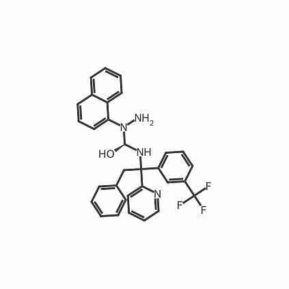 NN(c1cccc2ccccc12)[C@H](O)NC(Cc1ccccc1)(c1cccc(C(F)(F)F)c1)c1ccccn1